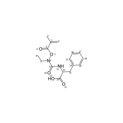 C=C(C)C(=O)ON(CC)C(=O)NC(Cc1ccccc1)C(=O)O